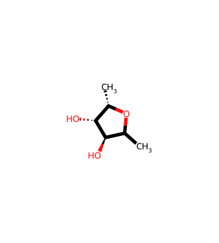 CC1O[C@@H](C)[C@@H](O)[C@@H]1O